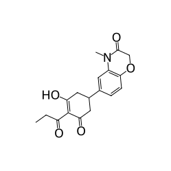 CCC(=O)C1=C(O)CC(c2ccc3c(c2)N(C)C(=O)CO3)CC1=O